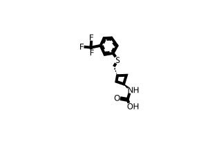 O=C(O)N[C@H]1C[C@H](CSc2cccc(C(F)(F)F)c2)C1